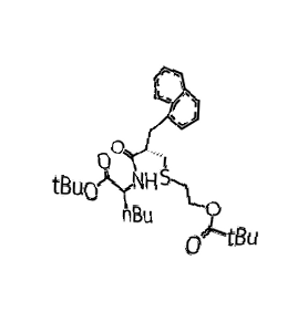 CCCC[C@H](NC(=O)[C@@H](CSCCOC(=O)C(C)(C)C)Cc1cccc2ccccc12)C(=O)OC(C)(C)C